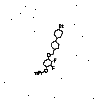 CCCOC1CCC(OCC2CCC(C3CCC(CC)CC3)CC2)C(F)C1F